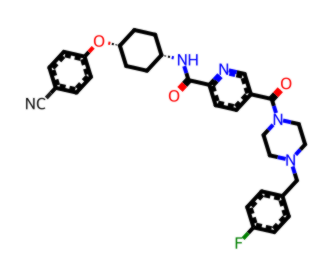 N#Cc1ccc(O[C@H]2CC[C@@H](NC(=O)c3ccc(C(=O)N4CCN(Cc5ccc(F)cc5)CC4)cn3)CC2)cc1